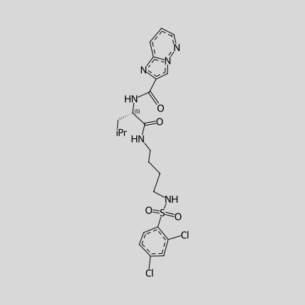 CC(C)C[C@H](NC(=O)c1cn2ncccc2n1)C(=O)NCCCCNS(=O)(=O)c1ccc(Cl)cc1Cl